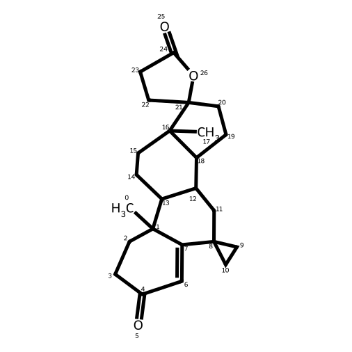 CC12CCC(=O)C=C1C1(CC1)CC1C2CCC2(C)C1CCC21CCC(=O)O1